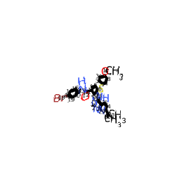 COc1ccc(Sc2ccc(C(=O)Nc3ccc(Br)cc3)cc2Nc2ncnc3nc(C(C)C)ccc23)cc1